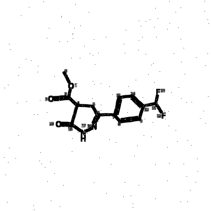 COC(=O)C1CC(c2ccc(C(F)F)cc2)=NNC1=O